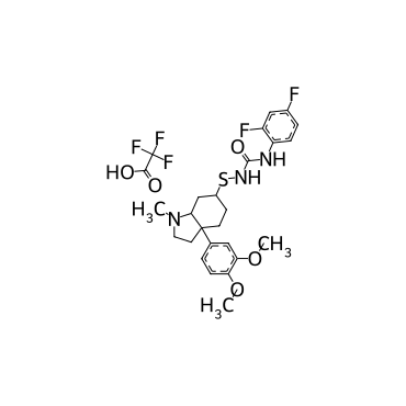 COc1ccc(C23CCC(SNC(=O)Nc4ccc(F)cc4F)CC2N(C)CC3)cc1OC.O=C(O)C(F)(F)F